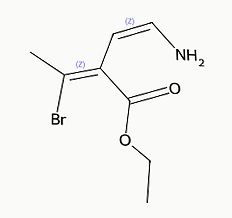 CCOC(=O)C(/C=C\N)=C(/C)Br